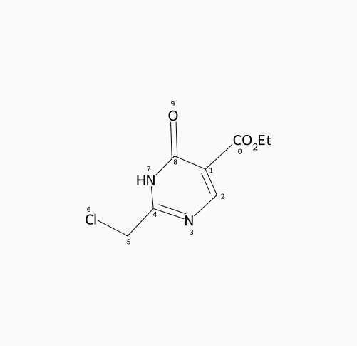 CCOC(=O)c1cnc(CCl)[nH]c1=O